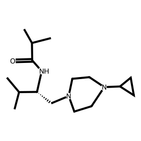 CC(C)C(=O)N[C@H](CN1CCN(C2CC2)CC1)C(C)C